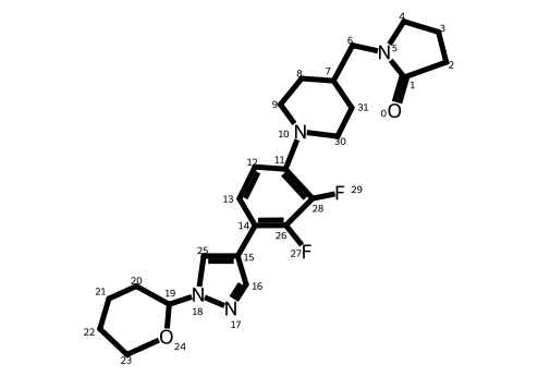 O=C1CCCN1CC1CCN(c2ccc(-c3cnn(C4CCCCO4)c3)c(F)c2F)CC1